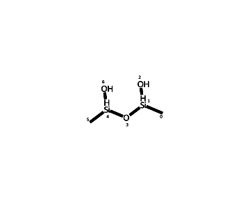 C[SiH](O)O[SiH](C)O